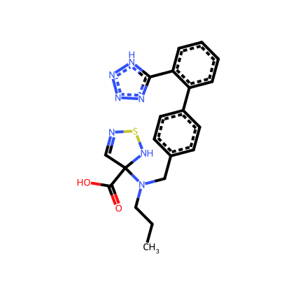 CCCN(Cc1ccc(-c2ccccc2-c2nnn[nH]2)cc1)C1(C(=O)O)C=NSN1